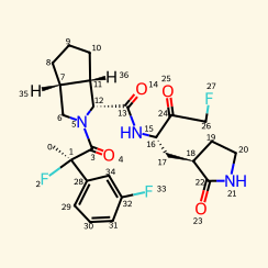 C[C@](F)(C(=O)N1C[C@@H]2CCC[C@@H]2[C@@H]1C(=O)N[C@@H](C[C@H]1CCNC1=O)C(=O)CF)c1cccc(F)c1